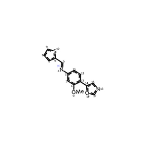 COc1cc(/N=C/c2cccs2)ccc1-c1cnco1